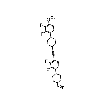 CCCC1CCC(c2ccc(C#CC3CCC(c4ccc(OCC)c(F)c4F)CC3)c(F)c2F)CC1